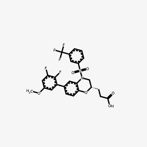 COc1cc(F)c(F)c(-c2ccc3c(c2)N(S(=O)(=O)c2cccc(C(F)(F)F)c2)C[C@H](CCC(=O)O)O3)c1